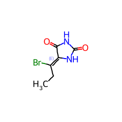 CC/C(Br)=C1\NC(=O)NC1=O